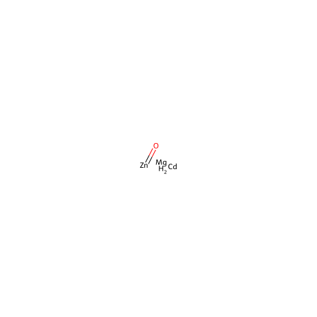 [Cd].[MgH2].[O]=[Zn]